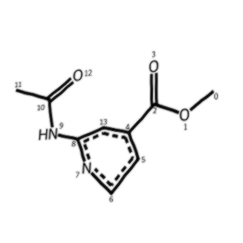 COC(=O)c1ccnc(NC(C)=O)c1